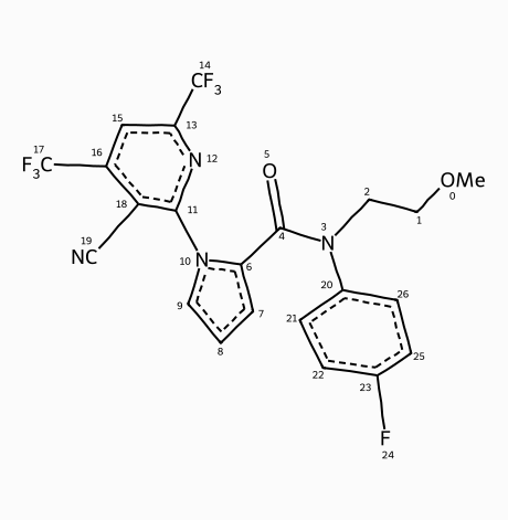 COCCN(C(=O)c1cccn1-c1nc(C(F)(F)F)cc(C(F)(F)F)c1C#N)c1ccc(F)cc1